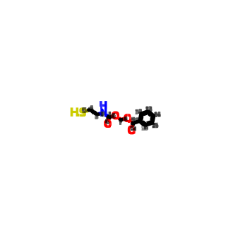 O=C(NCCS)OCOC(=O)c1ccccc1